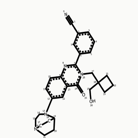 N#Cc1cccc(-c2nc3ccc(N4CCN5CCC4CC5)cc3c(=O)n2CC2(CO)CCC2)c1